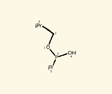 CC(C)COP(O)C(C)C